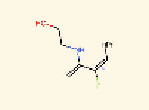 C=C(NCCO)/C(F)=C\CCC